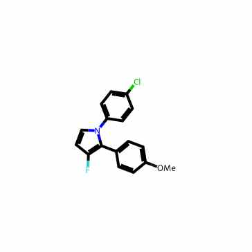 COc1ccc(-c2c(F)ccn2-c2ccc(Cl)cc2)cc1